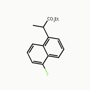 CCOC(=O)C(C)c1cccc2c(F)cccc12